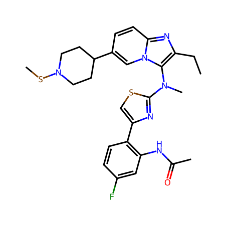 CCc1nc2ccc(C3CCN(SC)CC3)cn2c1N(C)c1nc(-c2ccc(F)cc2NC(C)=O)cs1